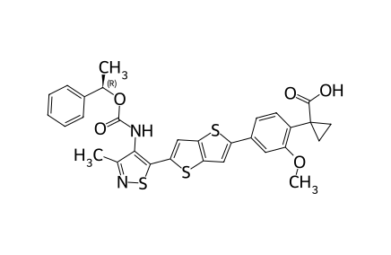 COc1cc(-c2cc3sc(-c4snc(C)c4NC(=O)O[C@H](C)c4ccccc4)cc3s2)ccc1C1(C(=O)O)CC1